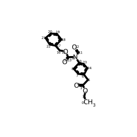 CCOC(=O)Cc1ccc(N(C=O)C(=O)OCc2ccccc2)cc1